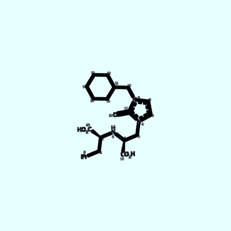 CC(C)C[C@H](N[C@@H](Cn1ccn(CC2CCCCC2)c1=O)C(=O)O)C(=O)O